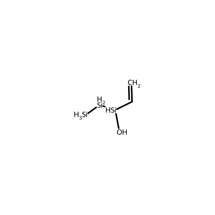 C=C[SiH](O)[SiH2][SiH3]